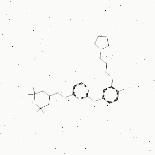 COc1ccc(Nc2nccc(NCC3CC(C)(C)NC(C)(C)C3)n2)cc1OCCCN1CCCC1